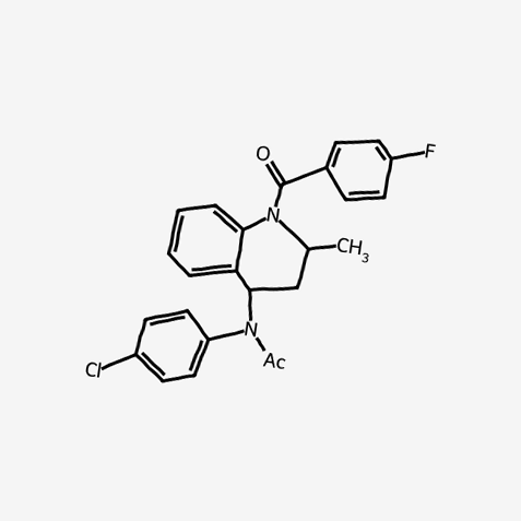 CC(=O)N(c1ccc(Cl)cc1)C1CC(C)N(C(=O)c2ccc(F)cc2)c2ccccc21